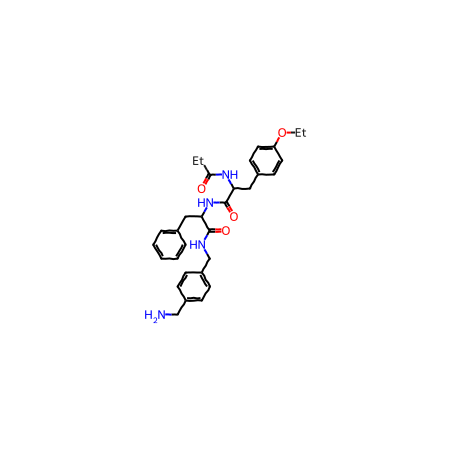 CCOc1ccc(CC(NC(=O)CC)C(=O)NC(Cc2ccccc2)C(=O)NCc2ccc(CN)cc2)cc1